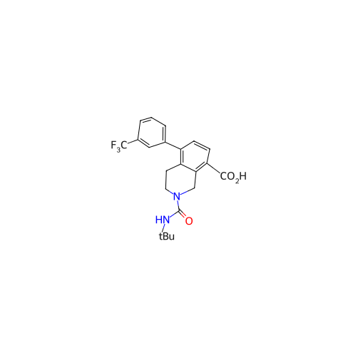 CC(C)(C)NC(=O)N1CCc2c(-c3cccc(C(F)(F)F)c3)ccc(C(=O)O)c2C1